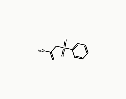 C=C(CS(=O)(=O)c1ccccc1)OC(C)=O